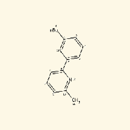 CCCCc1cccc(-c2cccc(C)n2)c1